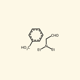 CCN(CC)CC=O.O=C(O)c1ccccc1